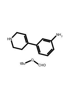 CC(C)(C)OC=O.Nc1cccc(C2=CCNCC2)c1